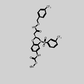 CC(C)(C)OC(=O)Nc1ccc2c(c1)N(S(=O)(=O)c1cccc(C(F)(F)F)c1)C[C@H](CC(=O)NOCc1ccc(C(F)(F)F)cc1)O2